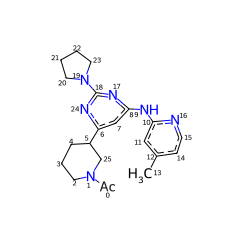 CC(=O)N1CCCC(c2cc(Nc3cc(C)ccn3)nc(N3CCCC3)n2)C1